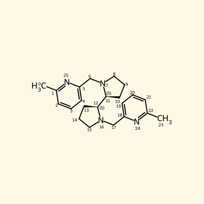 Cc1cccc(CN2CCC[C@H]2[C@@H]2CCCN2Cc2cccc(C)n2)n1